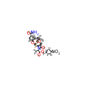 CC(C)=C(C(=O)OCc1ccc([N+](=O)[O-])cc1)N1C(=O)[C@H]([C@@H](C)O[Si](C)(C)C(C)(C)C)[C@H]1SC(=S)Oc1ccc(C(N)=O)cc1